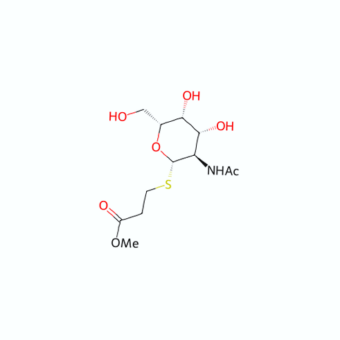 COC(=O)CCS[C@@H]1O[C@H](CO)[C@H](O)[C@H](O)[C@H]1NC(C)=O